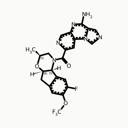 C[C@H]1CN(C(=O)c2cc3c(cn2)nc(N)c2cncn23)[C@H]2c3cc(F)c(OC(F)(F)F)cc3C[C@H]2O1